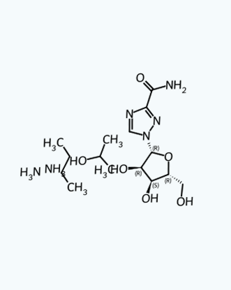 CC(C)O.CCCC.N.N.NC(=O)c1ncn([C@@H]2O[C@H](CO)[C@@H](O)[C@H]2O)n1